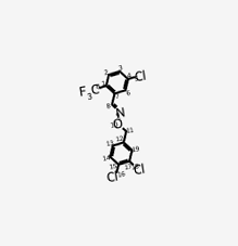 FC(F)(F)c1ccc(Cl)cc1/C=N/OCc1ccc(Cl)c(Cl)c1